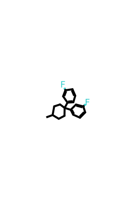 CC1CCC(c2cccc(F)c2)(c2cccc(F)c2)CC1